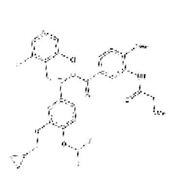 CNCC(=O)Nc1cc(C(=O)O[C@@H](Cc2c(Cl)cncc2Cl)c2ccc(OC(F)F)c(OCC3CC3)c2)ccc1OC